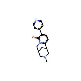 CN1CC2CC(C1)c1ccc(-c3ccncc3)c(=O)n1C2